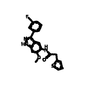 COc1cc2[nH]nc(-c3cccc(F)c3)c2cc1NC(=O)Cc1cccs1